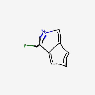 FC1=NC=C2C=CC=C21